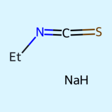 CCN=C=S.[NaH]